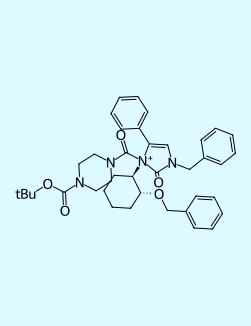 CC(C)(C)OC(=O)N1CCN(C(=O)[N+]2([C@@H]3CCCC[C@H]3OCc3ccccc3)C(=O)N(Cc3ccccc3)C=C2c2ccccc2)CC1